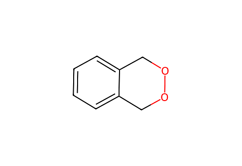 c1ccc2c(c1)COOC2